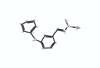 CC(C)(C)[S@+]([O-])N=Cc1cccc(Oc2ccccc2)c1